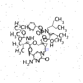 CCC(CC)CN([C@@H](CC(C)C)C(=O)O)[P@](=O)(OC[C@@]1(COC(=O)[C@@H](NC(=O)OC(C)(C)C)C(C)C)C/C1=C/n1cc(F)c(N)nc1=O)Oc1ccccc1